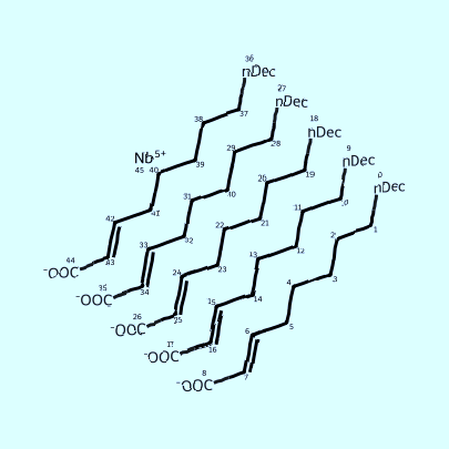 CCCCCCCCCCCCCCCC=CC(=O)[O-].CCCCCCCCCCCCCCCC=CC(=O)[O-].CCCCCCCCCCCCCCCC=CC(=O)[O-].CCCCCCCCCCCCCCCC=CC(=O)[O-].CCCCCCCCCCCCCCCC=CC(=O)[O-].[Nb+5]